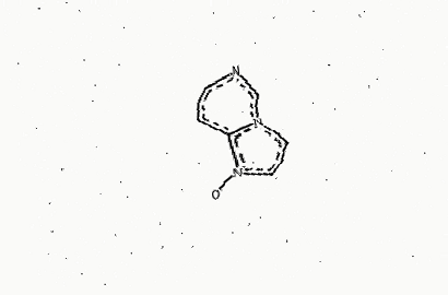 [O-][n+]1ccn2cnccc21